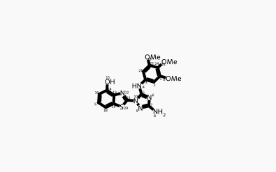 COc1cc(Nc2nc(N)nn2-c2nc3c(O)cccc3s2)cc(OC)c1OC